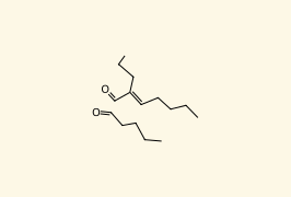 CCCC/C=C(/C=O)CCC.CCCCC=O